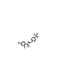 O=C([N]Cc1ccc(C(F)(F)F)cc1)c1ccc(F)cc1F